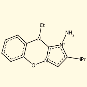 CCN1c2ccccc2On2cc(C(C)C)[n+](N)c21